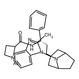 CC(=O)N1CCC1C(=O)N[C@@H](CCN1C2CCC1CC(n1c(C)nc3ccccc31)C2)c1ccccc1